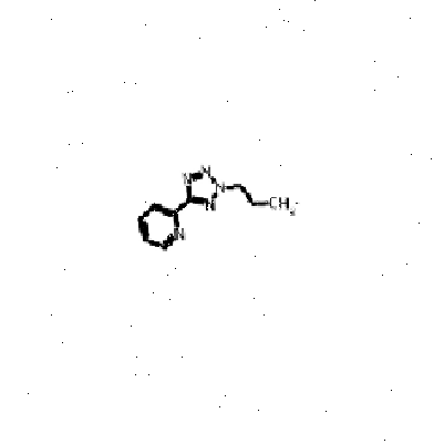 [CH2]CCn1nnc(-c2ccccn2)n1